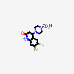 O=C(O)N1CCN(c2cc(=O)[nH]c3cc(Br)c(Cl)cc23)CC1